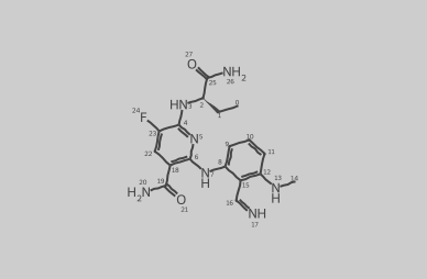 CC[C@@H](Nc1nc(Nc2cccc(NC)c2C=N)c(C(N)=O)cc1F)C(N)=O